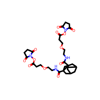 O=C(CCOCCNC(=O)C12CC3CC(C1)CC(C(=O)NCCOCCC(=O)ON1C(=O)CCC1=O)(C3)C2)ON1C(=O)CCC1=O